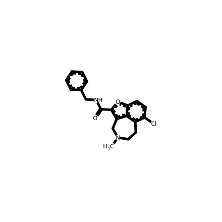 CN1CCc2c(Cl)ccc3oc(C(=O)NCc4ccccc4)c(c23)C1